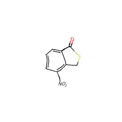 O=C1SCc2c1cccc2[N+](=O)[O-]